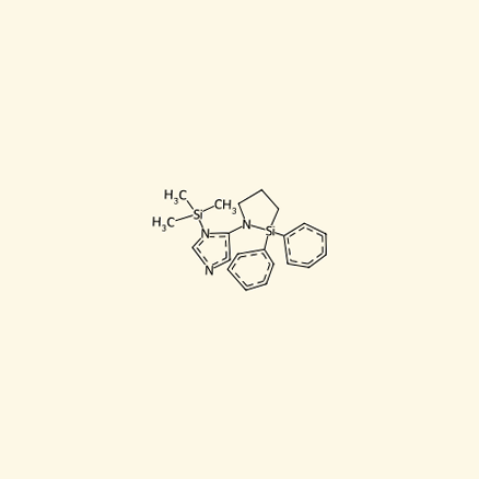 C[Si](C)(C)n1cncc1N1CCC[Si]1(c1ccccc1)c1ccccc1